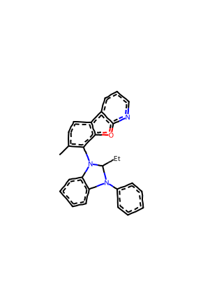 CCC1N(c2ccccc2)c2ccccc2N1c1c(C)ccc2c1oc1ncccc12